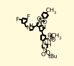 Cc1ccc(S(=O)(=O)n2cc(-c3ccn(Cc4cc(F)cc(F)c4)n3)c3cc(-c4ccc(N5CCN(C(=O)OC(C)(C)C)CC5)c(NS(C)(=O)=O)c4)cnc32)cc1